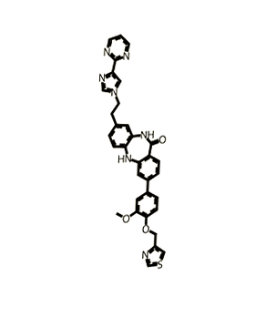 COc1cc(-c2ccc3c(c2)Nc2ccc(CCn4cnc(-c5ncccn5)c4)cc2NC3=O)ccc1OCc1cscn1